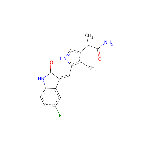 Cc1c(C(C)C(N)=O)c[nH]c1C=C1C(=O)Nc2ccc(F)cc21